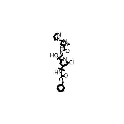 Cn1nc(-n2cccn2)cc1C(=O)NCC(C)(O)c1cc(C(C)(C)NC(=O)OCc2ccccc2)cc(Cl)n1